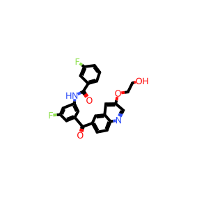 O=C(Nc1cc(F)cc(C(=O)c2ccc3ncc(OCCO)cc3c2)c1)c1cccc(F)c1